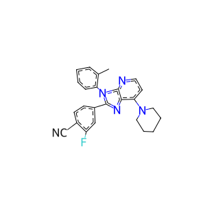 Cc1ccccc1-n1c(-c2ccc(C#N)c(F)c2)nc2c(N3CCCCC3)ccnc21